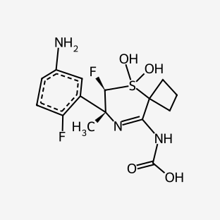 C[C@]1(c2cc(N)ccc2F)N=C(NC(=O)O)C2(CCC2)S(O)(O)[C@@H]1F